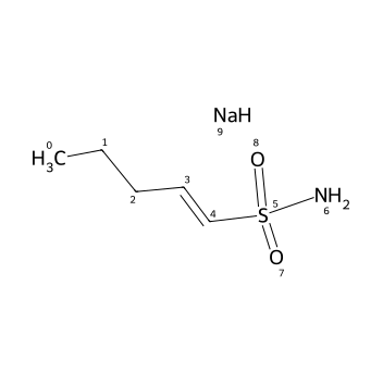 CCCC=CS(N)(=O)=O.[NaH]